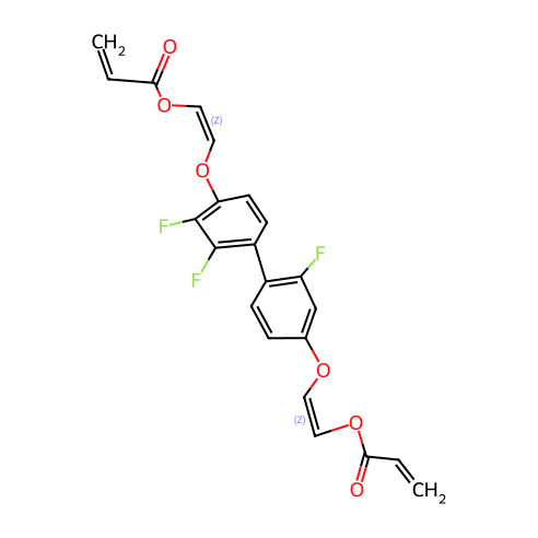 C=CC(=O)O/C=C\Oc1ccc(-c2ccc(O/C=C\OC(=O)C=C)c(F)c2F)c(F)c1